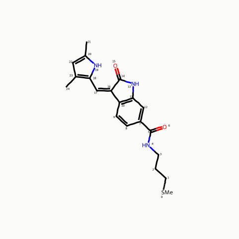 CSCCCNC(=O)c1ccc2c(c1)NC(=O)/C2=C\c1[nH]c(C)cc1C